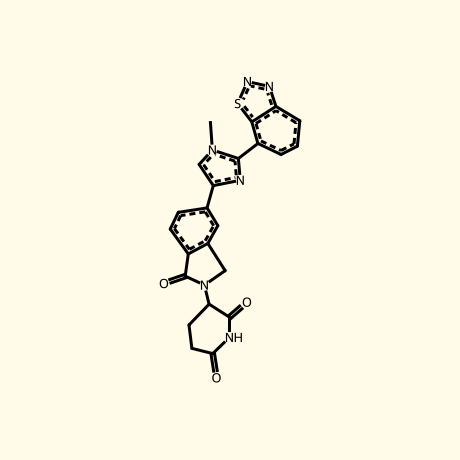 Cn1cc(-c2ccc3c(c2)CN(C2CCC(=O)NC2=O)C3=O)nc1-c1cccc2nnsc12